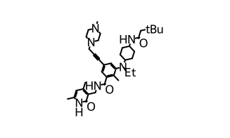 CCN(c1cc(C#CCN2CCN(C)CC2)cc(C(=O)NCc2c(C)cc(C)[nH]c2=O)c1C)C1CCC(NC(=O)CC(C)(C)C)CC1